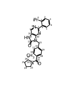 CC(C)c1ccccc1-c1ncc2[nH]c(=O)n(Cc3ccc(C(=O)N4CCC[C@@H]4C)cc3)c2n1